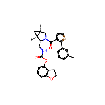 Cc1cccc(-c2sccc2C(=O)N2C[C@@H]3C[C@@H]3[C@H]2CNC(=O)Oc2cccc3c2CCO3)c1